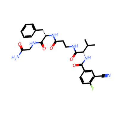 CC(C)[C@H](NC(=O)c1ccc(F)c(C#N)c1)C(=O)NCCC(=O)N[C@@H](Cc1ccccc1)C(=O)NCC(N)=O